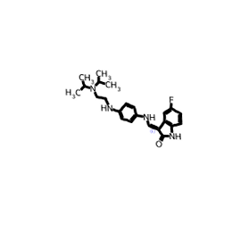 CC(C)N(CCNc1ccc(N/C=C2/C(=O)Nc3ccc(F)cc32)cc1)C(C)C